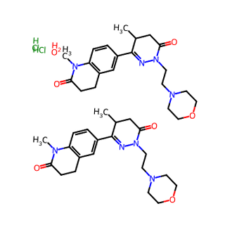 CC1CC(=O)N(CCN2CCOCC2)N=C1c1ccc2c(c1)CCC(=O)N2C.CC1CC(=O)N(CCN2CCOCC2)N=C1c1ccc2c(c1)CCC(=O)N2C.Cl.Cl.O